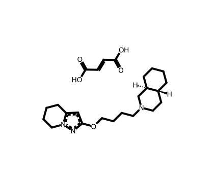 O=C(O)C=CC(=O)O.c1c(OCCCCN2CC[C@H]3CCCC[C@@H]3C2)nn2c1CCCC2